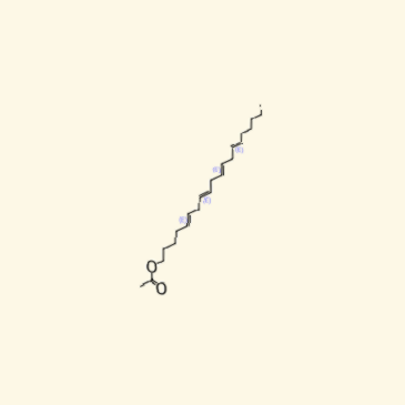 CCCCC/C=C/C/C=C/C/C=C/C/C=C/CCCCOC(C)=O